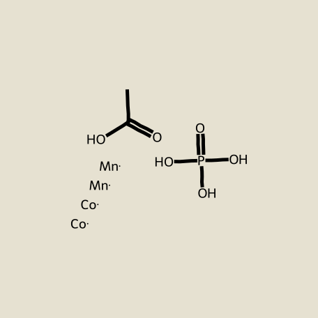 CC(=O)O.O=P(O)(O)O.[Co].[Co].[Mn].[Mn]